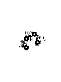 Cc1ccc(CN(C)Cc2ccccc2)cc1NC(=O)c1ccc(Nc2nc(C(C)C)c3ccccc3n2)cc1